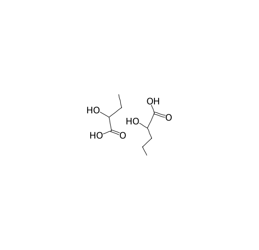 CCC(O)C(=O)O.CCCC(O)C(=O)O